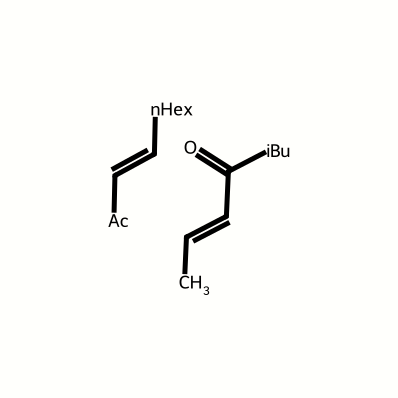 C/C=C/C(=O)C(C)CC.CCCCCCC=CC(C)=O